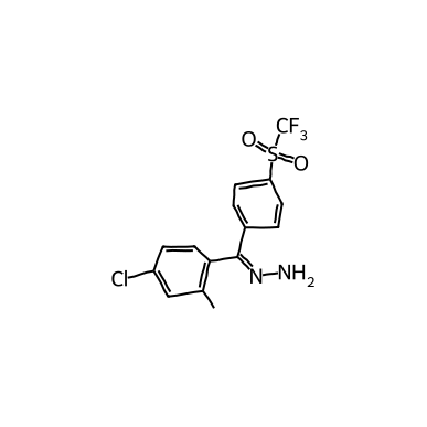 Cc1cc(Cl)ccc1C(=NN)c1ccc(S(=O)(=O)C(F)(F)F)cc1